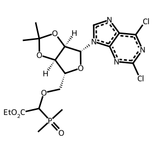 CCOC(=O)C(OC[C@H]1O[C@@H](n2cnc3c(Cl)nc(Cl)nc32)[C@@H]2OC(C)(C)O[C@@H]21)P(C)(C)=O